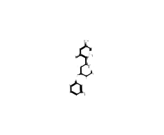 Oc1cccc(SC2CCOC(c3ncc(Br)cc3Cl)C2)c1